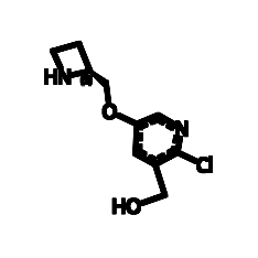 OCc1cc(OC[C@@H]2CCN2)cnc1Cl